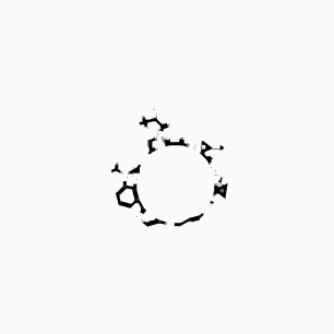 C=C[C@@H]1C[C@@]12NC(=O)[C@@H]1C[C@H](CN1C(=O)[C@@H](C)C(C)(C)C)Oc1nc3c(cccc3n1C(C)C)C1=NC=C(CC/C=C/CCC3(CC3)S(=O)(=O)NC2=O)C1